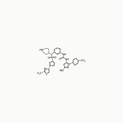 Cc1ccc(-n2nc(C(C)(C)C)cc2NC(=O)Nc2cccc(C(C3CCNCC3)S(=O)(=O)c3ccc(-c4csc(C)n4)s3)c2)cc1